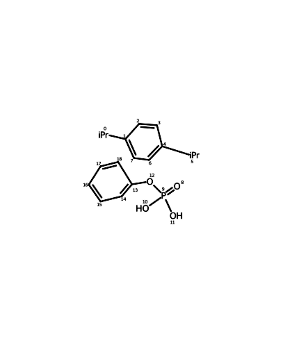 CC(C)c1ccc(C(C)C)cc1.O=P(O)(O)Oc1ccccc1